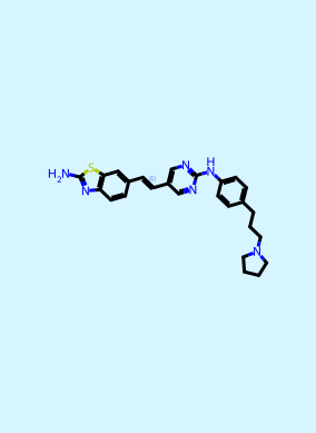 Nc1nc2ccc(/C=C/c3cnc(Nc4ccc(CCCN5CCCC5)cc4)nc3)cc2s1